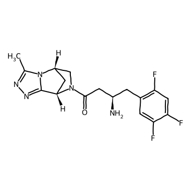 Cc1nnc2n1[C@H]1C[C@@H]2N(C(=O)C[C@H](N)Cc2cc(F)c(F)cc2F)C1